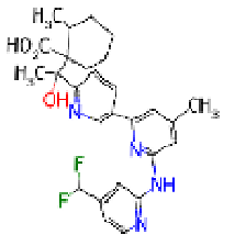 Cc1cc(Nc2cc(C(F)F)ccn2)nc(-c2ccc(C(C)(O)C3(C(=O)O)CCCCC3C)nc2)c1